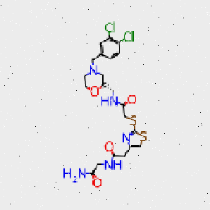 NC(=O)CNC(=O)Cc1csc(SCC(=O)NC[C@H]2CN(Cc3ccc(Cl)c(Cl)c3)CCO2)n1